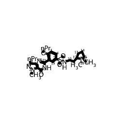 CCCOc1ccc(S(=O)(=O)NCCC2CCC[N+]2(C)C)cc1-c1nc2c(CCC)nn(C)c2c(=O)[nH]1